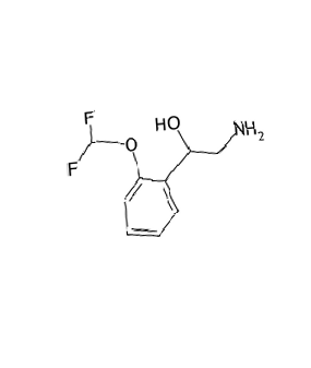 NCC(O)c1ccccc1OC(F)F